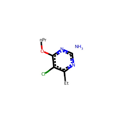 CCCOc1ncnc(CC)c1Cl.N